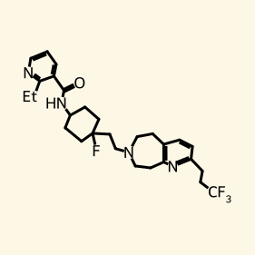 CCc1ncccc1C(=O)NC1CCC(F)(CCN2CCc3ccc(CCC(F)(F)F)nc3CC2)CC1